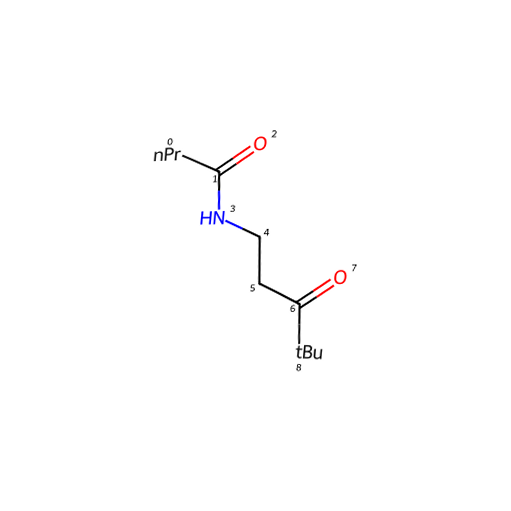 CCCC(=O)NCCC(=O)C(C)(C)C